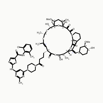 CO[C@H]1C[C@@H](C)[C@@]2(O)O[C@@H]1[C@@H](O)C[C@@H](C)C/C(C)=C/[C@@H](CCCC(=O)N1CCN(c3cc(Nc4ncc(C(=O)Nc5c(C)cccc5Cl)s4)nc(C)n3)CC1)C(=O)C[C@H](O)[C@@H](C)[C@@H]1OC(=O)[C@@H]3C(CCCN3C(=O)C2=O)/C1=C\[C@@H]1CC[C@@H](O)[C@H](OC)C1